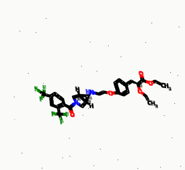 CCOC(=O)[C@H](Cc1ccc(OCCN[C@H]2[C@@H]3CN(C(=O)c4ccc(C(F)(F)F)cc4C(F)(F)F)C[C@@H]32)cc1)OCC